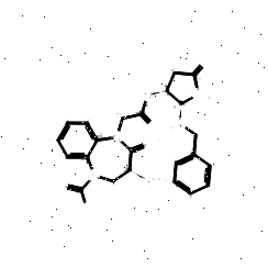 CCC(=O)N1C[C@H](NC)C(=O)N(CC(=O)N[C@H]2CC(=O)O[C@H]2OCc2ccccc2)c2ccccc21